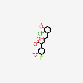 COc1cc(C(=CC=Cc2cccc(OC)c2Cl)C(=O)O)ccc1F